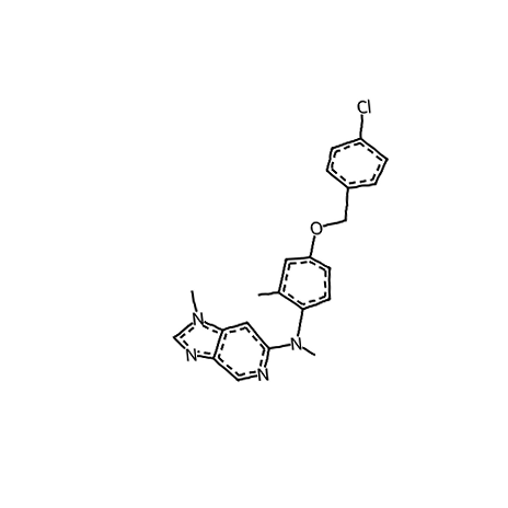 Cc1cc(OCc2ccc(Cl)cc2)ccc1N(C)c1cc2c(cn1)ncn2C